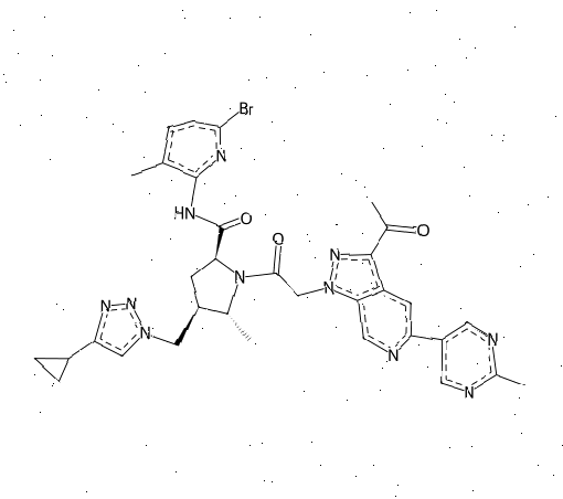 CC(=O)c1nn(CC(=O)N2[C@H](C)[C@@H](Cn3cc(C4CC4)nn3)C[C@H]2C(=O)Nc2nc(Br)ccc2C)c2cnc(-c3cnc(C)nc3)cc12